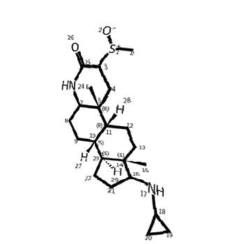 C[S+]([O-])C1C[C@@]2(C)C(CC[C@@H]3[C@H]2CC[C@]2(C)C(NC4CC4)CC[C@@H]32)NC1=O